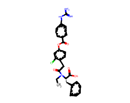 CCN(C(=O)Cc1ccc(OC(=O)c2ccc(NC(=N)N)cc2)cc1Cl)[C@@H](Cc1ccccc1)C(=O)O